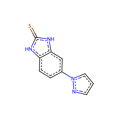 S=c1[nH]c2ccc(-n3cccn3)cc2[nH]1